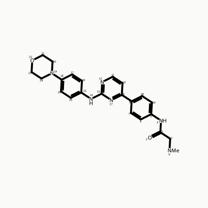 CNCC(=O)Nc1ccc(-c2ccnc(Nc3ccc(N4CCOCC4)cc3)n2)cc1